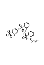 O=S(=O)([O-])c1ccccc1F.O=S(=O)([O-])c1ccccc1F.O=S(=O)([O-])c1ccccc1F.[Sm+3]